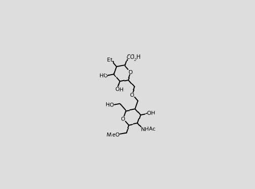 CCC1C(C(=O)O)OC(COCC2C(CO)OC(COC)C(NC(C)=O)C2O)C(O)C1O